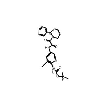 Cc1cc(NC(=O)C(=O)N2CCCC[C@@H]2c2ccccc2)cnc1NC(=O)OC(C)(C)C